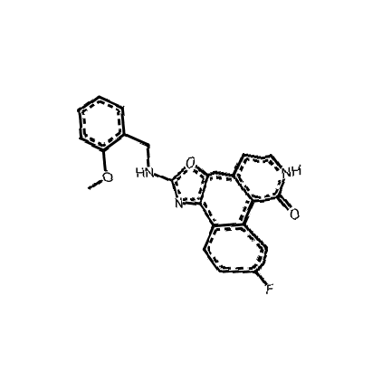 COc1ccccc1CNc1nc2c3ccc(F)cc3c3c(=O)[nH]ccc3c2o1